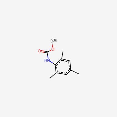 CCCCOC(=O)Nc1c(C)cc(C)cc1C